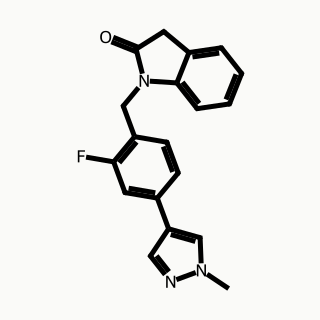 Cn1cc(-c2ccc(CN3C(=O)Cc4ccccc43)c(F)c2)cn1